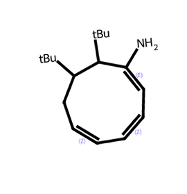 CC(C)(C)C1C\C=C/C=C\C=C(\N)C1C(C)(C)C